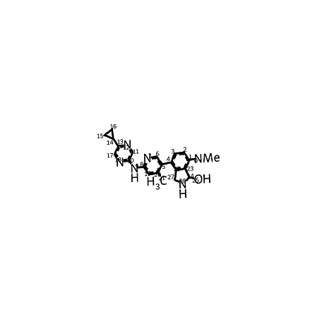 CNc1ccc(-c2cnc(Nc3cnc(C4CC4)cn3)cc2C)c2c1C(O)NC2